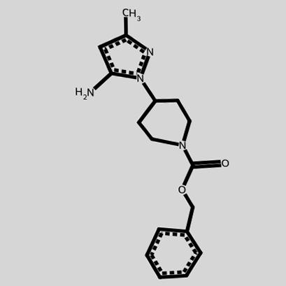 Cc1cc(N)n(C2CCN(C(=O)OCc3ccccc3)CC2)n1